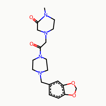 CN1CCN(CC(=O)N2CCN(Cc3ccc4c(c3)OCO4)CC2)CC1=O